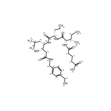 CCC[C@H](NC(=O)[C@@H](NC(=O)CCCC(=O)O)[C@@H](C)CC)C(=O)N[C@@H](CC(C)C)[C@@H](O)CC(=O)NCc1ccc(CO)cc1